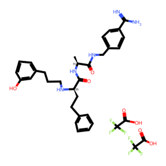 C[C@H](NC(=O)[C@@H](CCc1ccccc1)NCCCc1cccc(O)c1)C(=O)NCc1ccc(C(=N)N)cc1.O=C(O)C(F)(F)F.O=C(O)C(F)(F)F